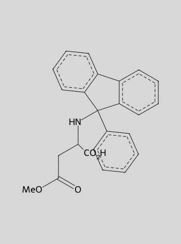 COC(=O)CC(NC1(c2ccccc2)c2ccccc2-c2ccccc21)C(=O)O